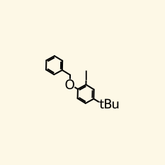 CC(C)(C)c1ccc(OCc2ccccc2)c(I)c1